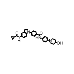 O=C(Nc1ccc(N2CCC(O)CC2)cc1)c1ccc(-n2ccc3cc(NC(=O)C4CC4)ccc32)cc1